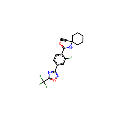 C#CC1(NC(=O)c2ccc(-c3noc(C(F)(F)F)n3)cc2F)CCCCC1